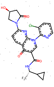 O=C(N[C@H](C1CC1)C(F)(F)F)c1cn(-c2ncccc2Cl)c2nc(N3C[C@@H](O)CC3=O)ccc2c1=O